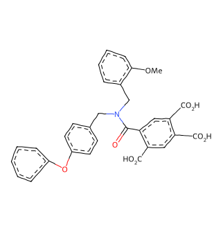 COc1ccccc1CN(Cc1ccc(Oc2ccccc2)cc1)C(=O)c1cc(C(=O)O)c(C(=O)O)cc1C(=O)O